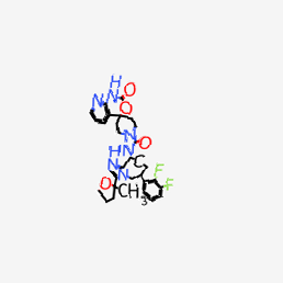 CC1(c2cnc3n2C[C@H](c2cccc(F)c2F)CC[C@H]3NC(=O)N2CCC3(CC2)OC(=O)Nc2ncccc23)CCCO1